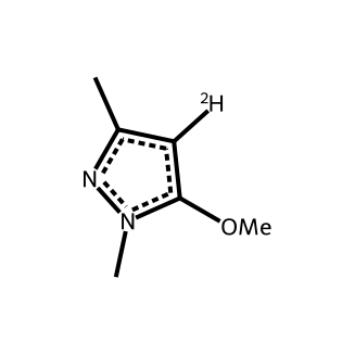 [2H]c1c(C)nn(C)c1OC